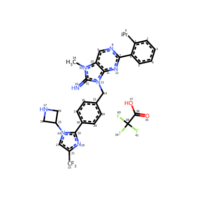 CC(C)c1ccccc1-c1ncc2c(n1)n(Cc1ccc(-c3nc(C(F)(F)F)cn3C3CNC3)cc1)c(=N)n2C.O=C(O)C(F)(F)F